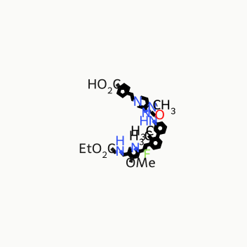 CCOC(=O)CNCc1cnc(/C(F)=C/c2cccc(-c3cccc(NC(=O)c4nc5c(n4C)CCN(CCC46CCC(C(=O)O)(CC4)C6)C5)c3C)c2C)cc1OC